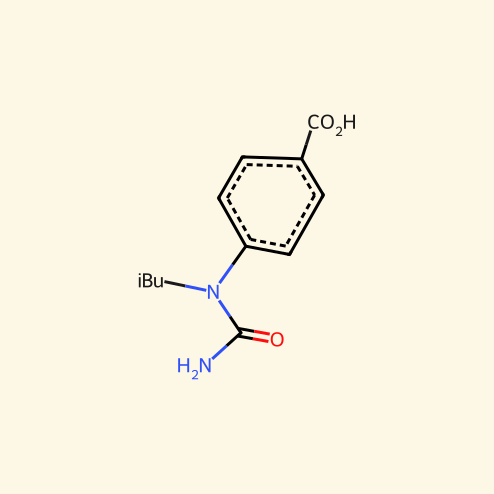 CCC(C)N(C(N)=O)c1ccc(C(=O)O)cc1